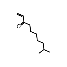 C=CC(=O)CCCCCC(C)C